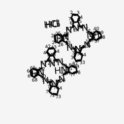 Cl.Cl.c1ccc2c(c1)-c1nc-2nc2[nH]c(nc3nc(nc4[nH]c(n1)c1ccccc41)-c1ccccc1-3)c1ccccc21.c1ccc2c(c1)-c1nc-2nc2[nH]c(nc3nc(nc4[nH]c(n1)c1ccccc41)-c1ccccc1-3)c1ccccc21